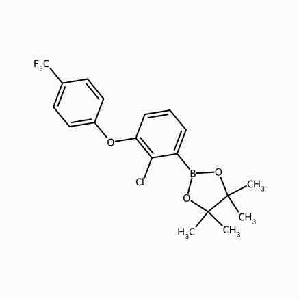 CC1(C)OB(c2cccc(Oc3ccc(C(F)(F)F)cc3)c2Cl)OC1(C)C